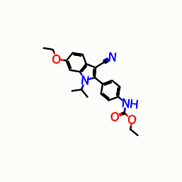 CCOC(=O)Nc1ccc(-c2c(C#N)c3ccc(OCC)cc3n2C(C)C)cc1